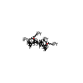 Cc1cc2c(s1)-c1sc(-c3c(F)cc(-c4cc5c(s4)-c4sc(-c6cc(F)c(C)c7nsnc67)cc4C(CCC(C)CCCC(C)C)(CCC(C)CCCC(C)C)O5)c4nsnc34)cc1C(CCC(C)CCCC(C)C)(CCC(C)CCCC(C)C)O2